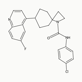 O=C(Nc1ccc(Cl)cc1)N1CCC12CCC(c1ccnc3ccc(F)cc13)CC2